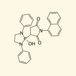 O=C1CC([P]2(O)N(c3ccccc3)CCN2c2ccccc2)C(=O)N1c1cccc2ccccc12